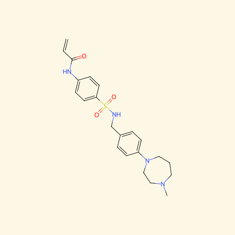 C=CC(=O)Nc1ccc(S(=O)(=O)NCc2ccc(N3CCCN(C)CC3)cc2)cc1